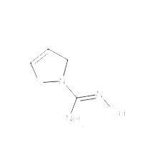 NC(=NO)N1CC=CS1